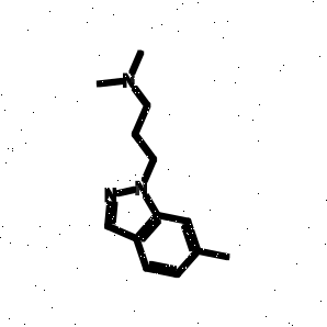 Cc1ccc2cnn(CCCN(C)C)c2c1